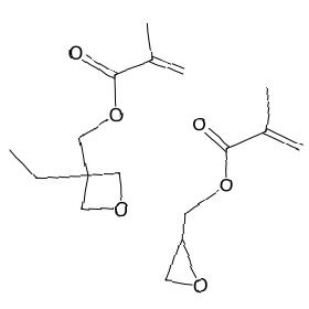 C=C(C)C(=O)OCC1(CC)COC1.C=C(C)C(=O)OCC1CO1